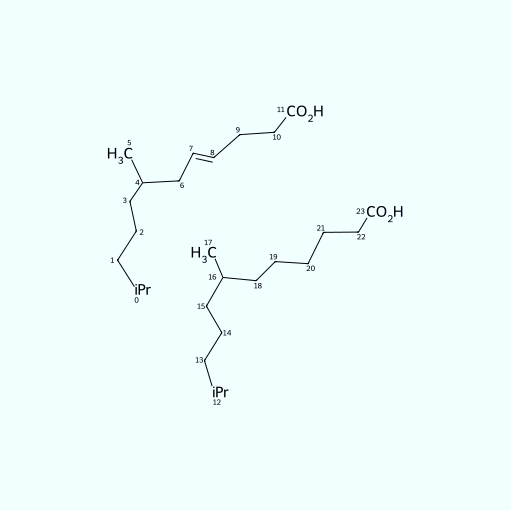 CC(C)CCCC(C)CC=CCCC(=O)O.CC(C)CCCC(C)CCCCCC(=O)O